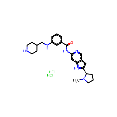 CN1CCC[C@@H]1c1cc2cnc(NC(=O)c3cccc(NCC4CCNCC4)c3)cc2[nH]1.Cl.Cl